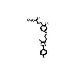 CCc1cc(OCCc2nc(-c3ccc(C)cc3)oc2C)ccc1CCC(=O)OC